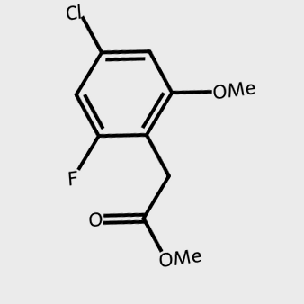 COC(=O)Cc1c(F)cc(Cl)cc1OC